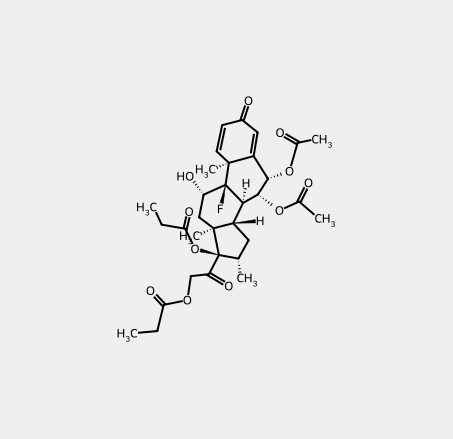 CCC(=O)OCC(=O)[C@@]1(OC(=O)CC)[C@@H](C)C[C@H]2[C@@H]3[C@@H](OC(C)=O)[C@@H](OC(C)=O)C4=CC(=O)C=C[C@]4(C)[C@@]3(F)[C@@H](O)C[C@@]21C